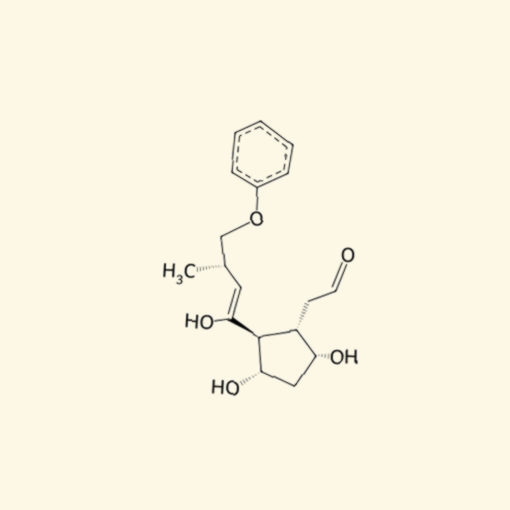 C[C@@H](C=C(O)[C@H]1[C@H](CC=O)[C@H](O)C[C@@H]1O)COc1ccccc1